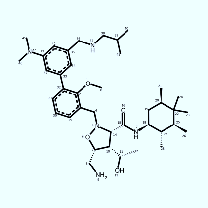 COc1c(CN2O[C@@H](CN)[C@@H]([C@H](C)O)[C@H]2C(=O)N[C@H]2C[C@@H](C)C(C)(C)[C@@H](C)[C@@H]2C)cccc1-c1cc(CNCC(C)C)cc(N(C)C)c1